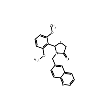 COc1cccc(OC)c1C1SCC(=O)N1Cc1ccc2ncccc2c1